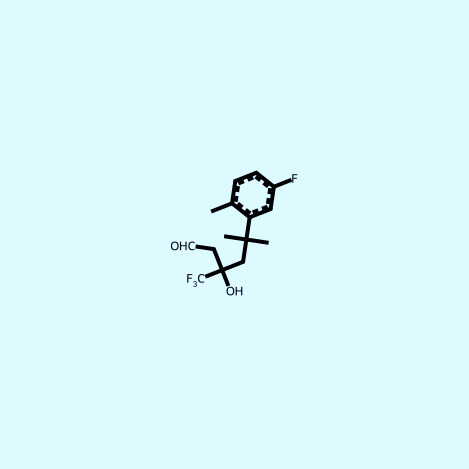 Cc1ccc(F)cc1C(C)(C)CC(O)(CC=O)C(F)(F)F